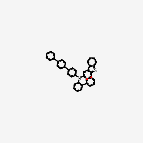 c1ccc(-c2ccc(-c3ccc(N(c4cc5c(cn4)sc4ccccc45)c4ccccc4-c4ccccc4)cc3)cc2)cc1